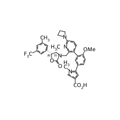 COc1ccc(-c2cc(C(=O)O)cn2C)cc1-c1ccc(N2CCC2)nc1CN1C(=O)O[C@H](c2cc(C)cc(C(F)(F)F)c2)[C@@H]1C